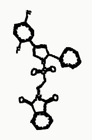 O=C1c2ccccc2C(=O)N1CCS(=O)(=O)N1CC(c2cc(F)ccc2F)=CC1c1ccccc1